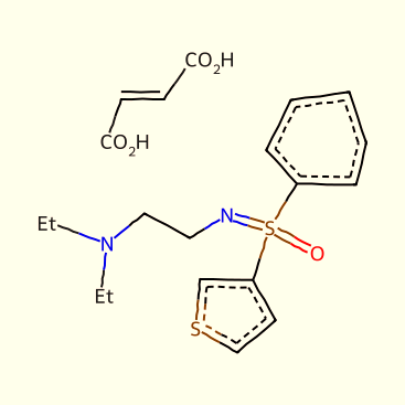 CCN(CC)CCN=S(=O)(c1ccccc1)c1ccsc1.O=C(O)C=CC(=O)O